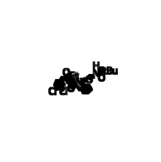 CCC(=O)/C(=C/c1ccc(Cl)c(Cl)c1)CN(Cl)C(=O)[C@H](Cc1ccccc1)NCCOCCNC(=O)OC(C)(C)C